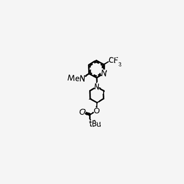 CNc1ccc(C(F)(F)F)nc1N1CCC(OC(=O)C(C)(C)C)CC1